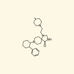 O=C1NCN(CCN2CCSCC2)C12CCN(C1CCCCC1c1ccccc1)CC2